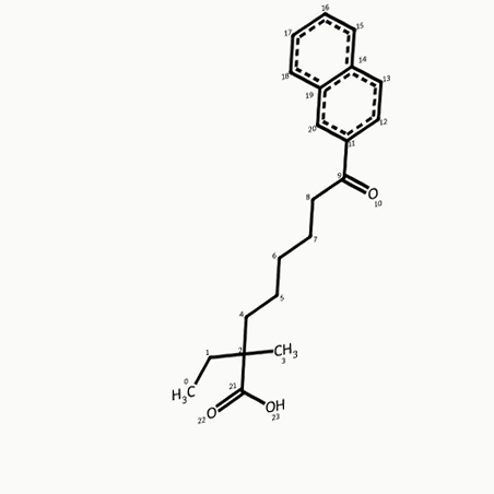 CCC(C)(CCCCCC(=O)c1ccc2ccccc2c1)C(=O)O